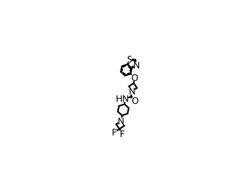 O=C(NC1CCC(N2CC(F)(F)C2)CC1)N1CC(Oc2cccc3scnc23)C1